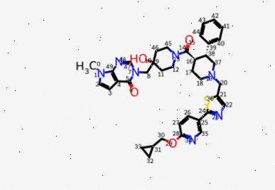 Cn1ccc2c(=O)n(CC3(O)CCN(C(=O)[C@@H]4CCN(Cc5cnc(-c6ccc(OCC7CC7)nc6)s5)C[C@H]4c4ccccc4)CC3)cnc21